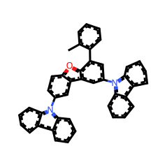 Cc1ccccc1-c1cc(-n2c3ccccc3c3ccccc32)cc2c1oc1ccc(-n3c4ccccc4c4ccccc43)cc12